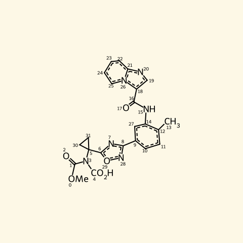 COC(=O)N(C(=O)O)C1(c2nc(-c3ccc(C)c(NC(=O)c4cnc5ccccn45)c3)no2)CC1